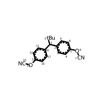 CC(C)(C)C(c1ccc(OC#N)cc1)c1ccc(OC#N)cc1